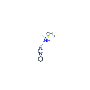 CSC(=S)NCCCN1CCN(c2ccccc2)CC1